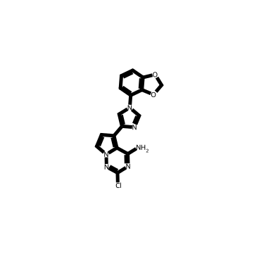 Nc1nc(Cl)nn2ccc(-c3cn(-c4cccc5c4OCO5)cn3)c12